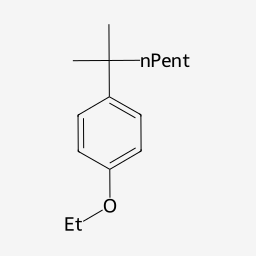 [CH2]COc1ccc(C(C)(C)CCCCC)cc1